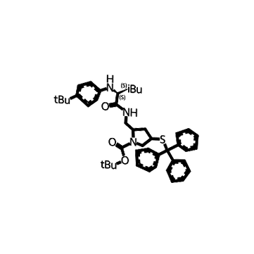 CC[C@H](C)[C@H](Nc1ccc(C(C)(C)C)cc1)C(=O)NCC1CC(SC(c2ccccc2)(c2ccccc2)c2ccccc2)CN1C(=O)OC(C)(C)C